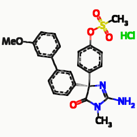 COc1cccc(-c2cccc([C@]3(c4ccc(OS(C)(=O)=O)cc4)N=C(N)N(C)C3=O)c2)c1.Cl